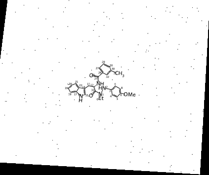 CCN(Nc1ccc(OC)cc1)C(=O)C(Cc1c[nH]c2ccccc12)NC(=O)c1cccc(C)c1